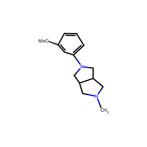 COc1cccc(N2CC3CN(C)CC3C2)c1